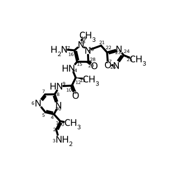 C/C(=C\N)c1cncc(NC(=O)[C@H](C)Nc2c(N)n(C)n(Cc3nc(C)no3)c2=O)n1